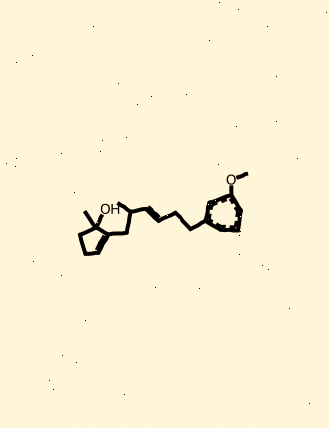 COc1cccc(CC/C=C/C(C)CC2=CCCC2(C)O)c1